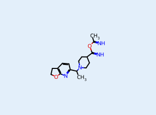 CC(=N)OC(=N)C1CCN(C(C)c2ccc3c(n2)OCC3)CC1